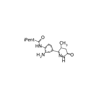 CCCC(C)C(=O)Nc1ccc(C2=NNC(=O)CC2C)cc1N